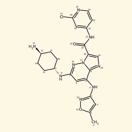 Cc1cc(Nc2cc(N[C@H]3CC[C@H](N)CC3)nn3c(C(=O)Nc4ccnc(Cl)c4)cnc23)no1